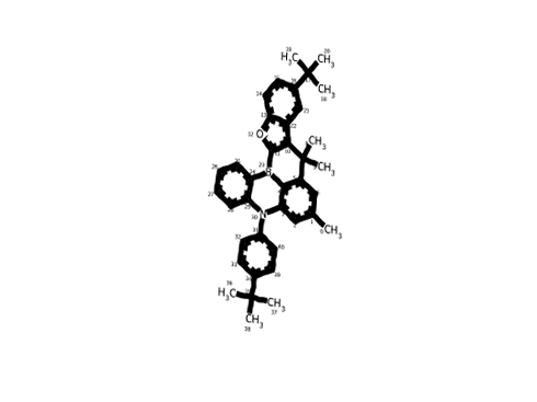 Cc1cc2c3c(c1)C(C)(C)c1c(oc4ccc(C(C)(C)C)cc14)B3c1ccccc1N2c1ccc(C(C)(C)C)cc1